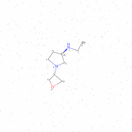 CC(C)CN[C@@H]1CCN(C2COC2)C1